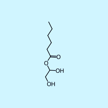 CCCCCC(=O)OC(O)CO